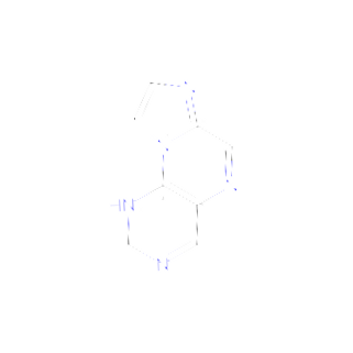 C1=NCNc2c1ncc1nccn21